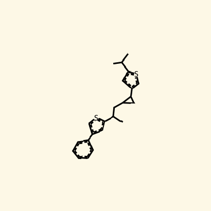 CC(C)c1cc(C2CC2CC(C)c2cc(-c3ccccc3)cs2)cs1